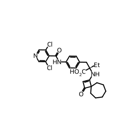 CC[C@@](Cc1ccc(NC(=O)c2c(Cl)cncc2Cl)cc1)(NC1=CC(=O)C12CCCCCC2)C(=O)O